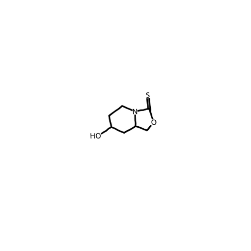 OC1CCN2C(=S)OCC2C1